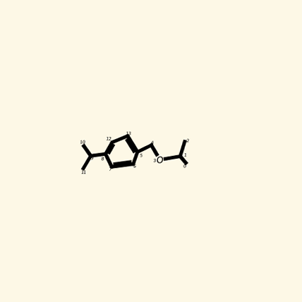 CC(C)OCc1ccc(C(C)C)cc1